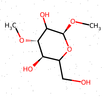 CO[C@H]1OC(CO)[C@@H](O)[C@H](OC)C1O